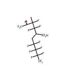 CC(F)(C(F)(F)C(CC(F)(F)C(F)(F)C(F)(F)C(F)(F)F)S(=O)(=O)O)C(F)(F)C(F)(F)F